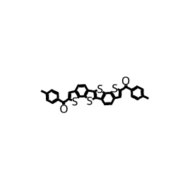 Cc1ccc(C(=O)c2cc3ccc4c(sc5c6ccc7cc(C(=O)c8ccc(C)cc8)sc7c6sc45)c3s2)cc1